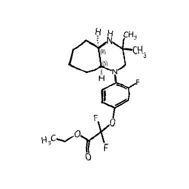 CCOC(=O)C(F)(F)Oc1ccc(N2CC(C)(C)N[C@@H]3CCCC[C@@H]32)c(F)c1